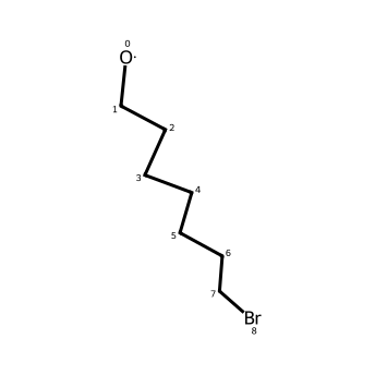 [O]CCCCCCCBr